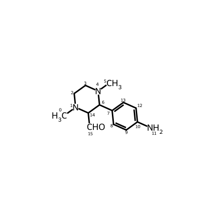 CN1CCN(C)C(c2ccc(N)cc2)C1C=O